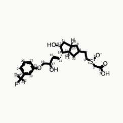 O=C(O)C[S+]([O-])CCC1C[C@H]2C[C@H](O)[C@@H](C=CC(O)COc3cccc(C(F)(F)F)c3)[C@@H]2C1